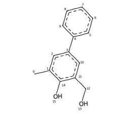 Cc1cc(-c2ccccc2)cc(CO)c1O